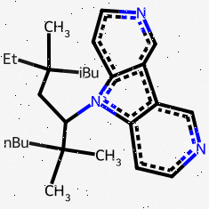 CCCCC(C)(C)C(CC(C)(CC)C(C)CC)n1c2ccncc2c2cnccc21